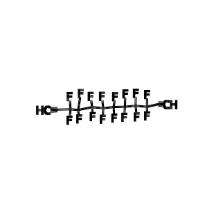 C#CC(F)(F)C(F)(F)C(F)(F)C(F)(F)C(F)(F)C(F)(F)C(F)(F)C(F)(F)C#C